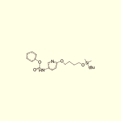 CC(C)(C)[Si](C)(C)OCCCCOc1ccc(NC(=O)Oc2ccccc2)cn1